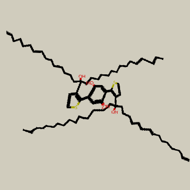 CCCCCCCCCCCCCCCC(O)(CCCCCCCCCCCCCCC)c1ccsc1-c1cc(O)c(-c2sccc2C(O)(CCCCCCCCCCCCCCC)CCCCCCCCCCCCCCC)cc1O